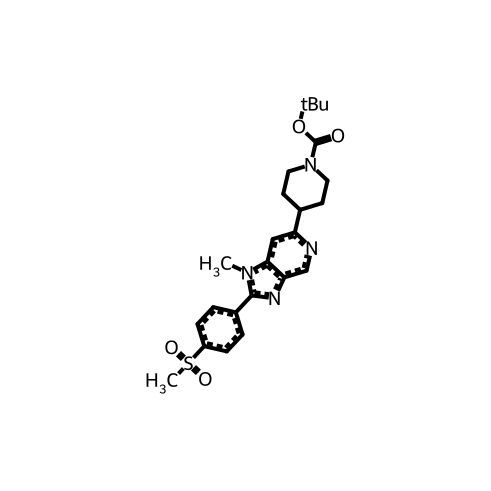 Cn1c(-c2ccc(S(C)(=O)=O)cc2)nc2cnc(C3CCN(C(=O)OC(C)(C)C)CC3)cc21